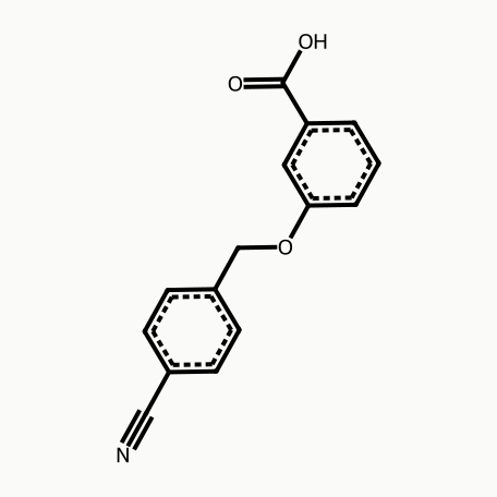 N#Cc1ccc(COc2cccc(C(=O)O)c2)cc1